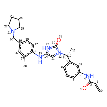 C=CC(=O)Nc1cccc([C@@H](C)n2cc(Nc3ccc(CN4CCCC4)cc3C)[nH]c2=O)c1